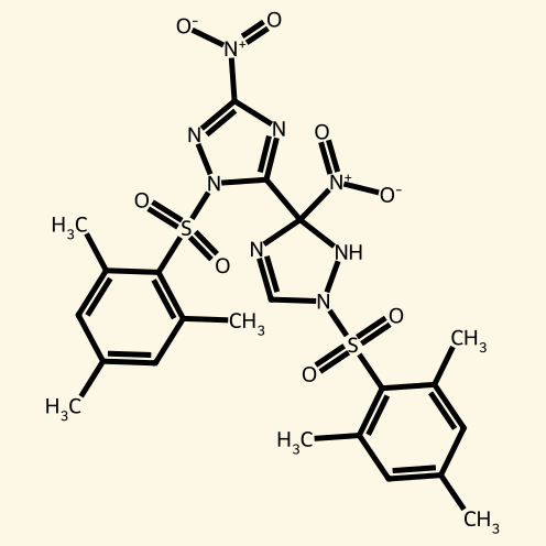 Cc1cc(C)c(S(=O)(=O)N2C=NC(c3nc([N+](=O)[O-])nn3S(=O)(=O)c3c(C)cc(C)cc3C)([N+](=O)[O-])N2)c(C)c1